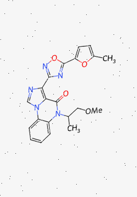 COCC(C)n1c(=O)c2c(-c3noc(-c4ccc(C)o4)n3)ncn2c2ccccc21